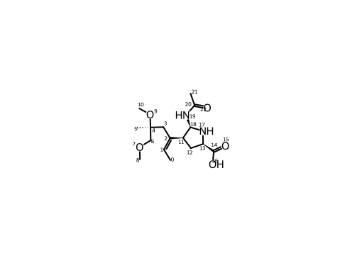 C/C=C(/C[C@@](C)(COC)OC)[C@@H]1C[C@H](C(=O)O)N[C@@H]1NC(C)=O